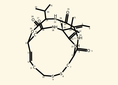 C/C=C1\NC(=O)C2CSSCC/C=C/C(CC(=O)N[C@H](C(C)C)C(=O)N2)OC(=O)C(C(C)C)NC1=O